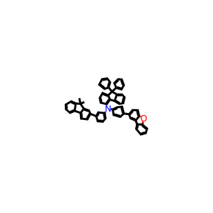 CC1(C)c2ccccc2-c2ccc(-c3cccc(N(c4ccc(-c5ccc6oc7ccccc7c6c5)cc4)c4cccc5c4-c4ccccc4C5(c4ccccc4)c4ccccc4)c3)cc21